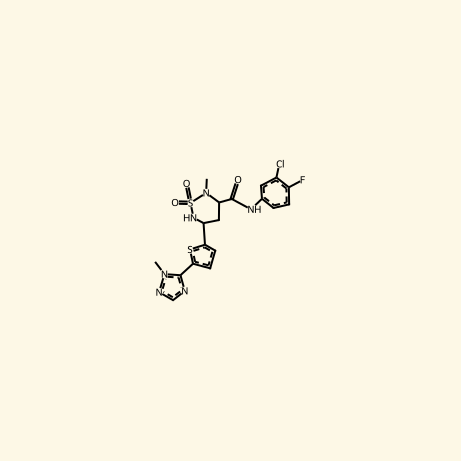 CN1C(C(=O)Nc2ccc(F)c(Cl)c2)CC(c2ccc(-c3ncnn3C)s2)NS1(=O)=O